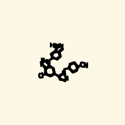 N#Cc1ccc(Cn2nccc2-c2cc(Cl)c3nnn(-c4ccc5cn[nH]c5c4)c3c2)cc1